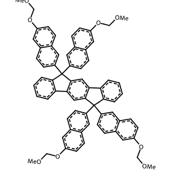 COCOc1ccc2cc(C3(c4ccc5cc(OCOC)ccc5c4)c4ccccc4-c4cc5c(cc43)-c3ccccc3C5(c3ccc4cc(OCOC)ccc4c3)c3ccc4cc(OCOC)ccc4c3)ccc2c1